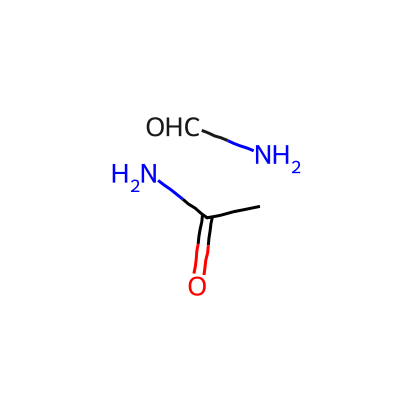 CC(N)=O.NC=O